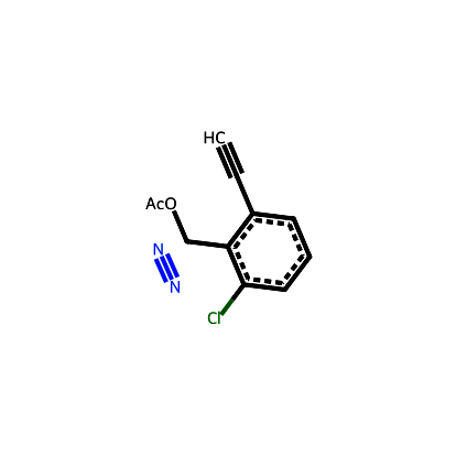 C#Cc1cccc(Cl)c1COC(C)=O.N#N